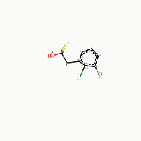 OC(=S)Cc1cccc(Cl)c1Cl